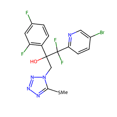 CSc1nnnn1CC(O)(c1ccc(F)cc1F)C(F)(F)c1ccc(Br)cn1